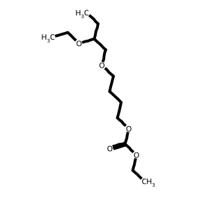 CCOC(=O)OCCCCOCC(CC)OCC